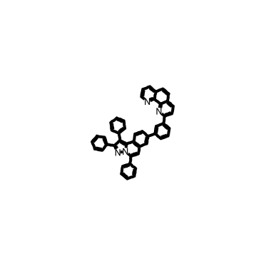 c1ccc(-c2nn3c(-c4ccccc4)cc4cc(-c5cccc(-c6ccc7ccc8cccnc8c7n6)c5)ccc4c3c2-c2ccccc2)cc1